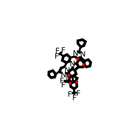 FC(F)(F)c1cc(-c2cc(-c3ccccc3)nc(-c3ccccc3)n2)c(-n2c3ccccc3c3cc(-c4ccc(C(F)(F)F)cc4C(F)(F)F)ccc32)c(-c2cc(-c3ccccc3)nc(-c3ccccc3)n2)c1